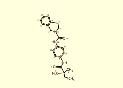 CCC(C)(C)C(=O)Nc1ccc(NC(=O)N2CCc3ccccc3C2)cc1